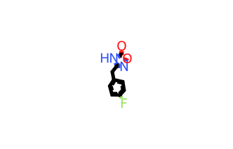 O=c1[nH]c(Cc2ccc(F)cc2)no1